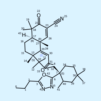 CCCc1nnc([C@]2(CCC(C)(C)[C@]3(C)CC[C@H]4C(C)(C)C(=O)C(C#N)=C[C@]4(C)/C3=C/C(C)=O)CCC(C)(C)CC2C)o1